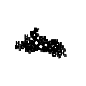 C=C(O)[C@@H]1[C@@](C)([C@H](C)C(C)C)CC[C@]2(C)[C@H]3CC[C@H]4C(C)(CC)[C@@H](OC[C@](C)(N)C(C)C)[C@H](n5cnc(Br)n5)C[C@]4(CC)C3=CC[C@@]12C